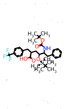 CC(C)(C)OC(=O)NC(Cc1ccccc1)C(CC(Cc1ccc(C(F)(F)F)cc1)C(=O)O)O[Si](C)(C)C(C)(C)C